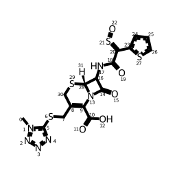 Cn1nnnc1SCC1=C(C(=O)O)N2C(=O)C(NC(=O)C(=S=O)c3cccs3)[C@H]2SC1